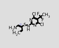 C=C/C(=C\N)SNc1nc(Cl)c(C(C)(F)F)c(Cl)n1